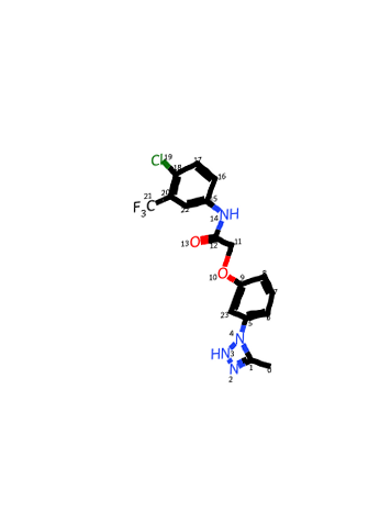 Cc1n[nH]n1-c1cccc(OCC(=O)Nc2ccc(Cl)c(C(F)(F)F)c2)c1